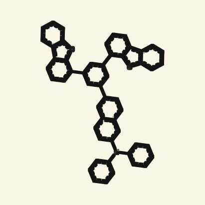 c1ccc(N(c2ccccc2)c2ccc3cc(-c4cc(-c5cccc6c5oc5ccccc56)cc(-c5cccc6c5oc5ccccc56)c4)ccc3c2)cc1